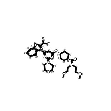 COCCN(CCOC)C(=O)[C@H]1CC[C@H](Oc2cc(-n3c(C(F)F)nc4ccccc43)nc(N3CCOCC3)n2)CC1